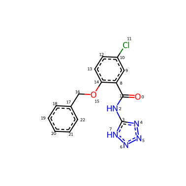 O=C(Nc1nnn[nH]1)c1cc(Cl)ccc1OCc1ccccc1